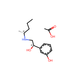 CC(=O)O.CCC[C@@H](C)NC[C@H](O)c1cccc(O)c1